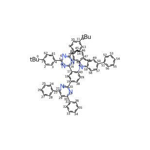 CC(C)(C)c1ccc(-c2nc(-c3ccc(C(C)(C)C)cc3)nc(-c3cc(-c4nc(-c5ccccc5)cc(-c5ccccc5)n4)ccc3-n3c4ccccc4c4cc(-c5ccccc5)ccc43)n2)cc1